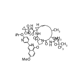 COc1ccc2c(O[C@@H]3C[C@H]4C(=O)N[C@]5(C(=O)NS(=O)(=O)C6(C)CC6)C[C@H]5/C=C\CC[C@@H](C)C[C@@H](C)[C@H](NC(=O)OC(C)(C)C(F)(F)F)C(=O)N4C3)nc(-c3ccc(OC(C)C)nc3)cc2c1